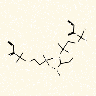 C=CC(=O)C(C)(C)OCCC(C)(N)ON(C)C(CO)OC(C)(C)COC(C)(N)C(=O)C=C